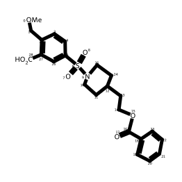 COCc1ccc(S(=O)(=O)N2CCC(CCOC(=O)c3ccccc3)CC2)cc1C(=O)O